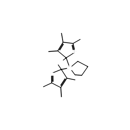 CC1=P[C](C)([Zr]2([C]3(C)P=C(C)C(C)=C3C)[CH2]CC[CH2]2)C(C)=C1C